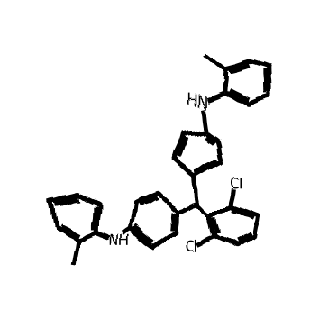 Cc1ccccc1Nc1ccc(C(c2ccc(Nc3ccccc3C)cc2)c2c(Cl)cccc2Cl)cc1